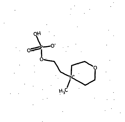 C[N+]1(CCOP(=O)([O-])O)CCOCC1